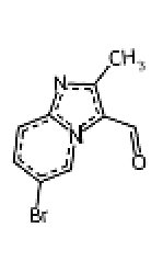 Cc1nc2ccc(Br)cn2c1C=O